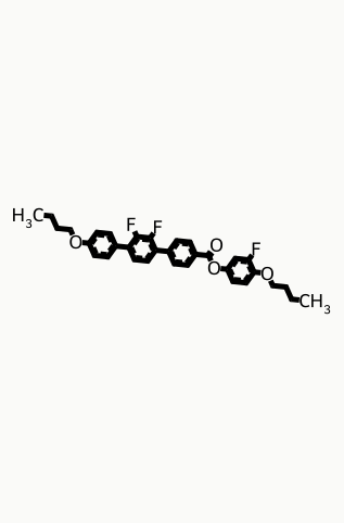 CCCCOc1ccc(-c2ccc(-c3ccc(C(=O)Oc4ccc(OCCCC)c(F)c4)cc3)c(F)c2F)cc1